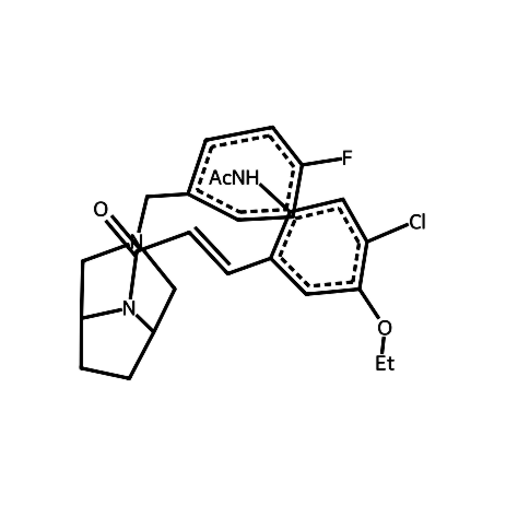 CCOc1cc(/C=C/C(=O)N2C3CCC2CN(Cc2ccc(F)cc2)C3)c(NC(C)=O)cc1Cl